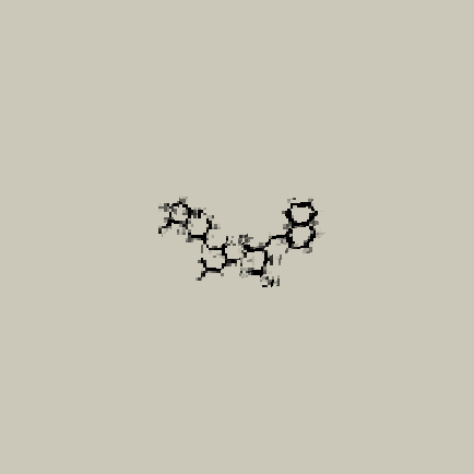 CC(C)CC(NC(=O)C(Cc1cccc2ccccc12)NC(=O)O)C(=O)NC(CS)C[C@@H]1CCNC1=O